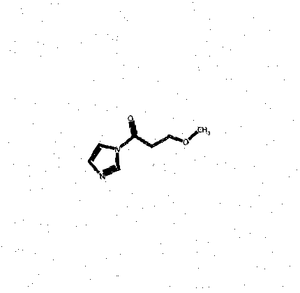 COCCC(=O)n1ccnc1